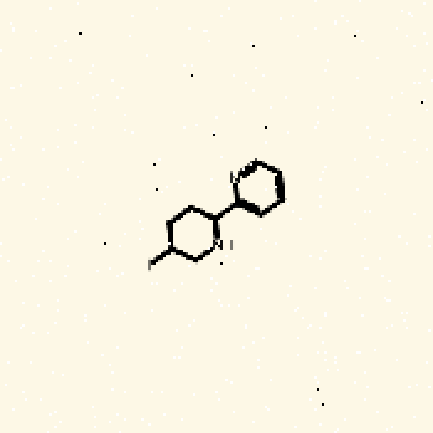 IC1CCC(c2ccccn2)NC1